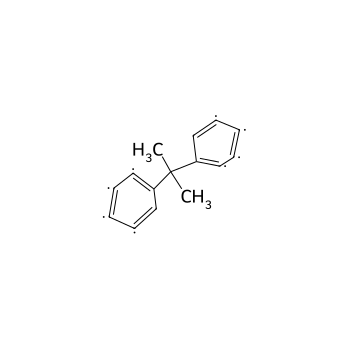 CC(C)(c1[c][c][c][c]c1)c1[c][c][c][c]c1